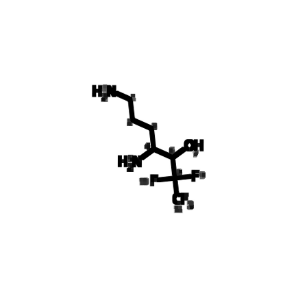 NCCCC(N)C(O)C(F)(F)C(F)(F)F